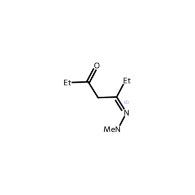 CCC(=O)C/C(CC)=N\NC